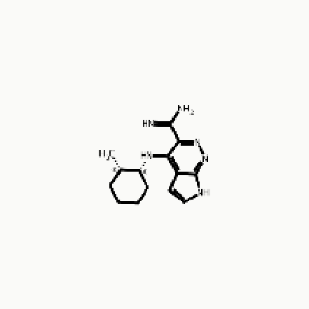 C[C@H]1CCCC[C@H]1Nc1c(C(=N)N)nnc2[nH]ccc12